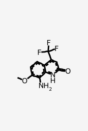 COc1ccc2c(C(F)(F)F)cc(=O)[nH]c2c1N